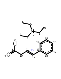 CCN(CC)CC.O=C(Cl)C/C=C/c1ccccc1